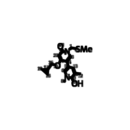 CSCn1cc(C2=CN(C)C(O)C(C)=C2)c(OCC2CC2)cc1=O